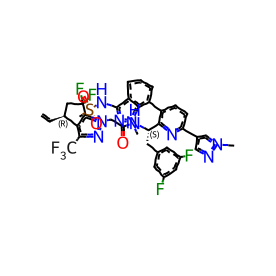 C=C[C@H]1CC(F)(F)c2c1c(C(F)(F)F)nn2CC(=O)N[C@@H](Cc1cc(F)cc(F)c1)c1nc(-c2cnn(C)c2)ccc1-c1cccc2c(NS(C)(=O)=O)nn(C)c12